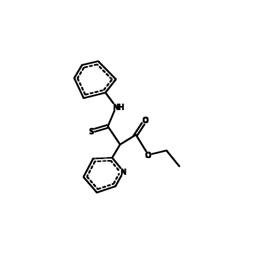 CCOC(=O)C(C(=S)Nc1ccccc1)c1ccccn1